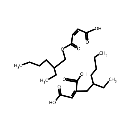 CCCCC(CC)C/C(=C/C(=O)O)C(=O)O.CCCCC(CC)COC(=O)/C=C\C(=O)O